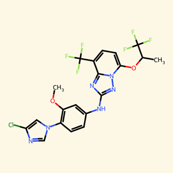 COc1cc(Nc2nc3c(C(F)(F)F)ccc(OC(C)C(F)(F)F)n3n2)ccc1-n1cnc(Cl)c1